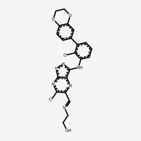 OCCN=Cc1nc2c(Nc3cccc(-c4ccc5c(c4)OCCO5)c3Cl)nsc2nc1Cl